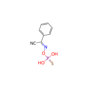 N#CC(=NOP(O)(O)=S)c1ccccc1